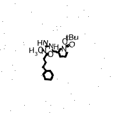 CN(C(=N)NCC1CCCN(C(=O)OC(C)(C)C)C1)C(=O)CCCC1CCCCC1